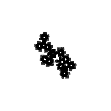 CC1(C)c2ccc3c4ccccc4n4c3c2-c2c(ccc(-c3cccc(-c5nc(-c6ccc7c(c6)c6ccccc6n7-c6ccccc6)nc(-c6cccc7ccccc67)n5)c3)c21)-c1ccccc1-4